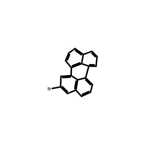 Brc1cc2cccc3c4cccc5cccc(c(c1)c23)c54